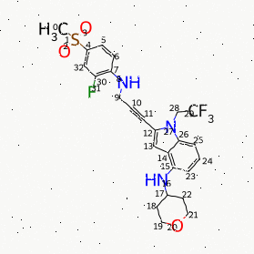 CS(=O)(=O)c1ccc(NCC#Cc2cc3c(NC4CCOCC4)cccc3n2CC(F)(F)F)c(F)c1